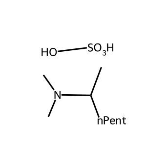 CCCCCC(C)N(C)C.O=S(=O)(O)O